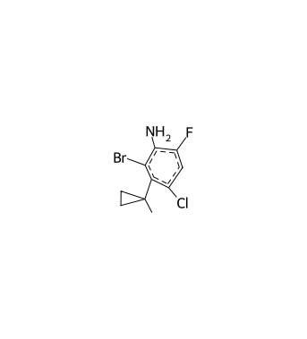 CC1(c2c(Cl)cc(F)c(N)c2Br)CC1